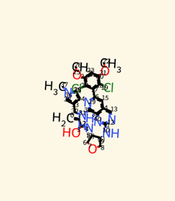 C=CC(O)N[C@H]1COC[C@H]1Nc1ncc2cc(-c3c(Cl)c(OC)cc(OC)c3Cl)nc(NCc3ccn(C)c3)c2n1